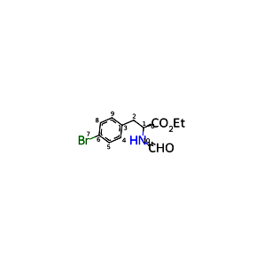 CCOC(=O)[C@H](Cc1ccc(Br)cc1)NC=O